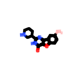 Bc1ccc2oc3c(=O)[nH]c(C4CCCNC4)nc3c2c1